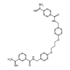 N=C(N)c1ccc(C(=O)NCc2ccc(OCCCOc3ccc(CNC(=O)c4cccc(C(=N)N)c4)cc3)cc2)cc1